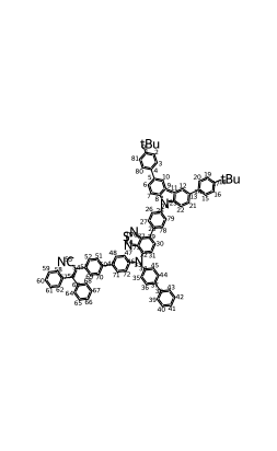 CC(C)(C)c1ccc(-c2ccc3c(c2)c2cc(-c4ccc(C(C)(C)C)cc4)ccc2n3-c2ccc(-c3ccc(N(c4ccc(-c5ccccc5)cc4)c4ccc(-c5ccc(C(C#N)=C(c6ccccc6)c6ccccc6)cc5)cc4)c4nsnc34)cc2)cc1